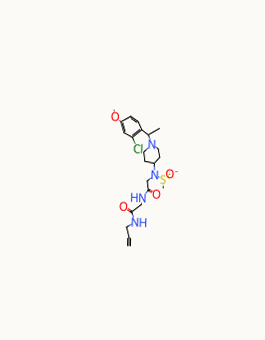 C#CCNC(=O)CNC(=O)CN(C1CCN(C(C)c2ccc(OC)cc2Cl)CC1)[S+](C)[O-]